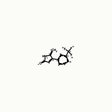 C=C1NC(=O)C=C1c1cccc(C(F)(F)F)c1